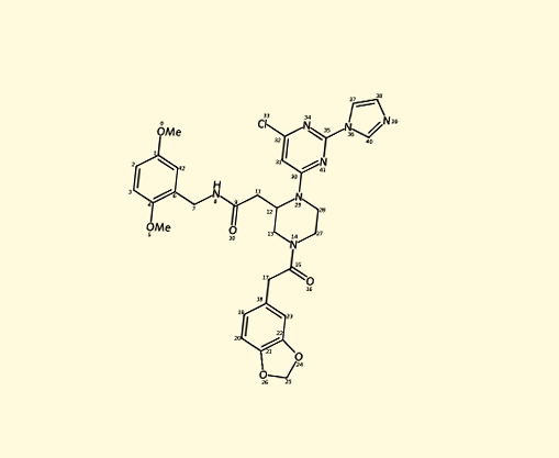 COc1ccc(OC)c(CNC(=O)CC2CN(C(=O)Cc3ccc4c(c3)OCO4)CCN2c2cc(Cl)nc(-n3ccnc3)n2)c1